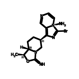 C[C@@H]1OC(=N)N2C[C@H](C3=C4C=NC=C[N+]4(N)C(Br)=N3)CC[C@@H]12